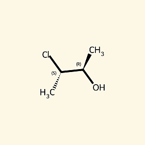 C[C@H](Cl)[C@@H](C)O